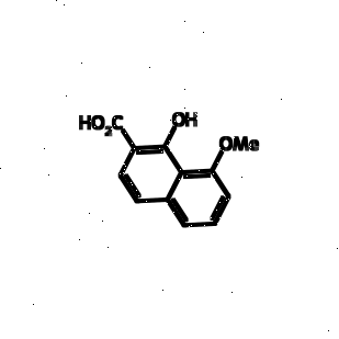 COc1cccc2ccc(C(=O)O)c(O)c12